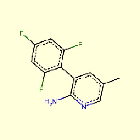 Cc1cnc(N)c(-c2c(F)cc(F)cc2F)c1